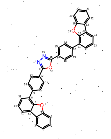 c1ccc2c(c1)oc1c(-c3ccc(-c4nnc(-c5ccc(-c6cccc7c6oc6ccccc67)cc5)o4)cc3)cccc12